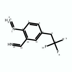 C=Nc1ccc(CC(F)(F)F)cc1C=N